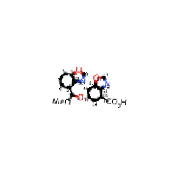 COC(=O)c1cccc2ocnc12.O=C(O)c1cccc2ocnc12